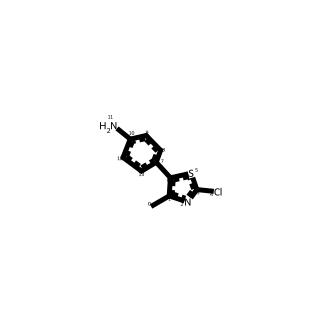 Cc1nc(Cl)sc1-c1ccc(N)cc1